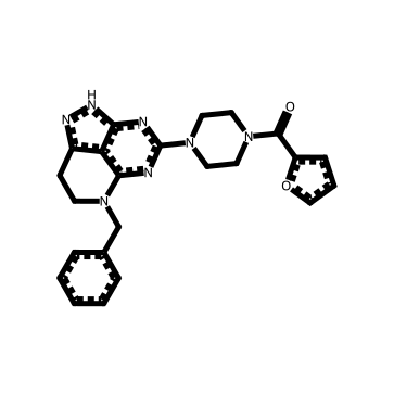 O=C(c1ccco1)N1CCN(c2nc3c4c(n[nH]c4n2)CCN3Cc2ccccc2)CC1